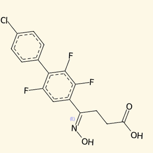 O=C(O)CC/C(=N\O)c1cc(F)c(-c2ccc(Cl)cc2)c(F)c1F